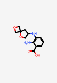 Nc1c(NC2COC3(COC3)C2)cccc1C(=O)O